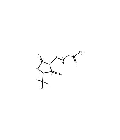 BC(=O)CNCN1C(=O)CC(C(C)(C)C)C1=O